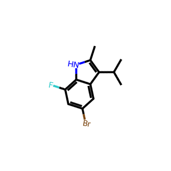 Cc1[nH]c2c(F)cc(Br)cc2c1C(C)C